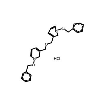 C1=CN(OCc2ccccc2)CC(COCC2=CC=CN(OCc3ccccc3)C2)=C1.Cl